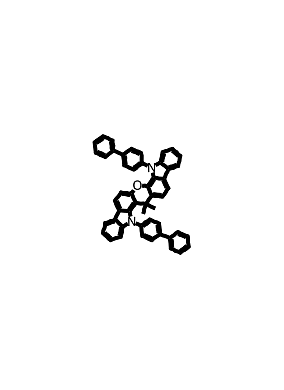 CC1(C)c2ccc3c4ccccc4n(-c4ccc(-c5ccccc5)cc4)c3c2Oc2ccc3c4ccccc4n(-c4ccc(-c5ccccc5)cc4)c3c21